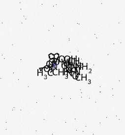 COc1nc(N)nc2c1nc(I)n2[C@@H]1O[C@H](COc2ccc3ccccc3c2O/[P+]([O-])=N/[C@H](C(=O)OCC2CC2)C(C)C)[C@@H](O)[C@@]1(C)O